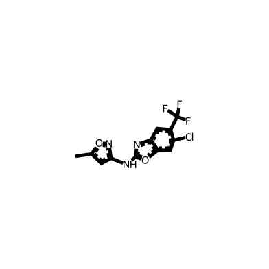 Cc1cc(Nc2nc3cc(C(F)(F)F)c(Cl)cc3o2)no1